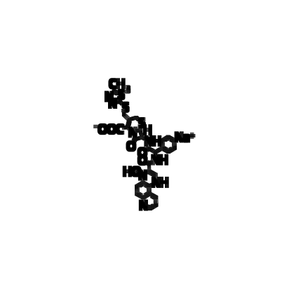 Cc1nnc(SCC2=C(C(=O)[O-])N3C(=O)C(NC(=O)C(NC(=O)C4=CNc5c(ccc6ncccc56)N4O)c4ccccc4)[C@@H]3SC2)s1.[Na+]